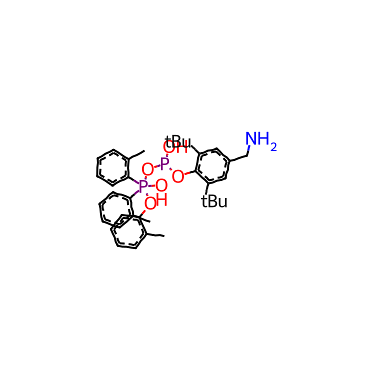 Cc1ccccc1OP(O)(OP(O)Oc1c(C(C)(C)C)cc(CN)cc1C(C)(C)C)(c1ccccc1C)c1ccccc1C